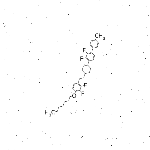 CCCCCCCOc1ccc(CCC2CCC(c3ccc(-c4ccc(C)cc4)c(F)c3F)CC2)c(F)c1F